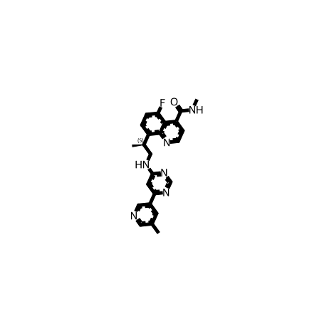 CNC(=O)c1ccnc2c([C@H](C)CNc3cc(-c4cncc(C)c4)ncn3)ccc(F)c12